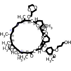 CO[C@@H]1C[C@H](C[C@H]2C3CCCN4C(=O)C(=O)[C@]5(O)O[C@@H](CC[C@H]5C)C[C@@H](OCC5COCCO5)/C(C)=C/C=C/C=C/[C@@H](C)C[C@@H](C)C(=O)[C@H](OC)[C@H](O)/C(C)=C/[C@@H](C)C(=O)C[C@@H]2OC(=O)C34)CC[C@H]1OCCCO